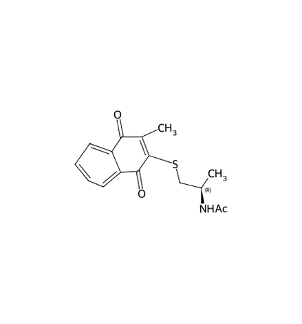 CC(=O)N[C@H](C)CSC1=C(C)C(=O)c2ccccc2C1=O